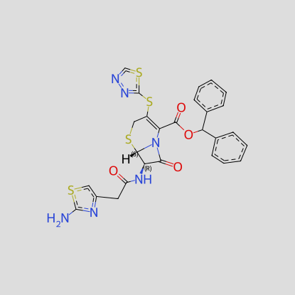 Nc1nc(CC(=O)N[C@@H]2C(=O)N3C(C(=O)OC(c4ccccc4)c4ccccc4)=C(Sc4nncs4)CS[C@@H]23)cs1